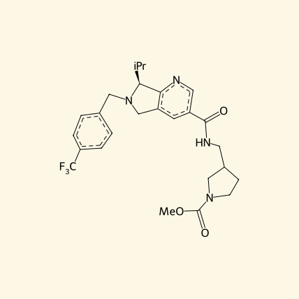 COC(=O)N1CCC(CNC(=O)c2cnc3c(c2)CN(Cc2ccc(C(F)(F)F)cc2)[C@H]3C(C)C)C1